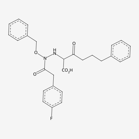 O=C(O)C(NN(OCc1ccccc1)C(=O)Cc1ccc(F)cc1)C(=O)CCCc1ccccc1